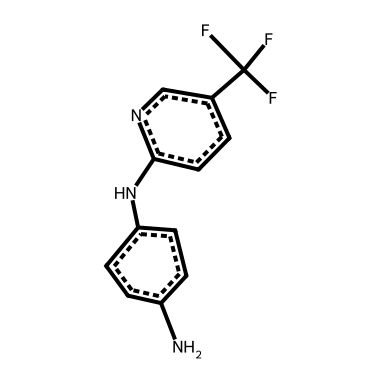 Nc1ccc(Nc2ccc(C(F)(F)F)cn2)cc1